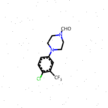 O=CN1CCN(c2ccc(Cl)c(C(F)(F)F)c2)CC1